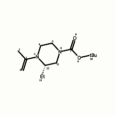 C=C(C)N1CCN(C(=O)OC(C)(C)C)C[C@@H]1CC